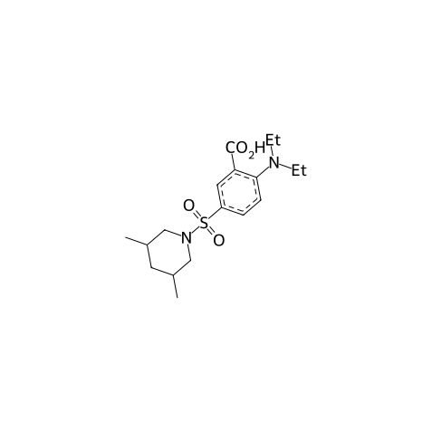 CCN(CC)c1ccc(S(=O)(=O)N2CC(C)CC(C)C2)cc1C(=O)O